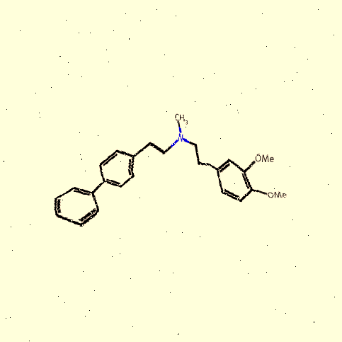 COc1ccc(CCN(C)CCc2ccc(-c3ccccc3)cc2)cc1OC